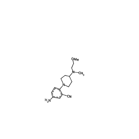 COCCN(C)C1CCN(c2ccc(N)cc2C#N)CC1